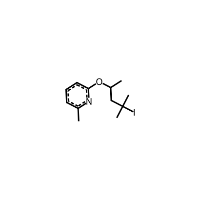 Cc1cccc(OC(C)CC(C)(C)I)n1